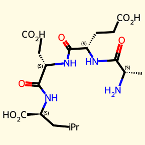 CC(C)C[C@H](NC(=O)[C@H](CC(=O)O)NC(=O)[C@H](CCC(=O)O)NC(=O)[C@H](C)N)C(=O)O